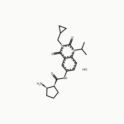 CC(C)n1c(=O)n(CC2CC2)c(=O)c2cc(NC(=O)[C@H]3CCC[C@H]3N)ccc21.Cl